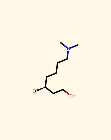 CC[C@H](CCO)CCCCN(C)C